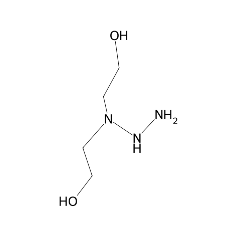 NNN(CCO)CCO